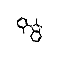 Cc1ccccc1-n1c(C)nc2c1CCC=C2